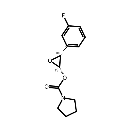 O=C(O[C@@H]1O[C@@H]1c1cccc(F)c1)N1CCCC1